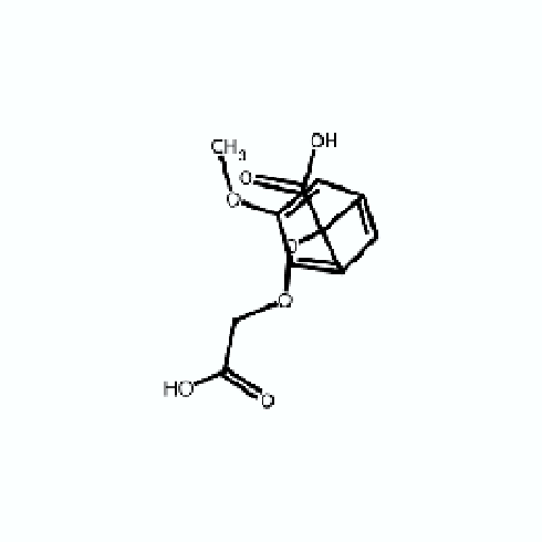 COc1cc2cc(c1)C2(OOCC(=O)O)C(=O)O